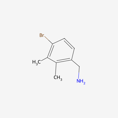 Cc1c(Br)ccc(CN)c1C